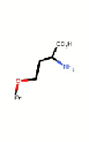 CC(C)OCCC(N)C(=O)O